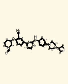 N#Cc1cc(-c2ncnc(Nc3ccc(N4CCN(C5COC5)CC4)cc3)n2)ccc1OC1CCCN(C=O)C1